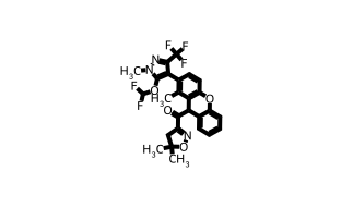 Cc1c(-c2c(C(F)(F)F)nn(C)c2OC(F)F)ccc2c1C(C(=O)C1=NOC(C)(C)C1)c1ccccc1O2